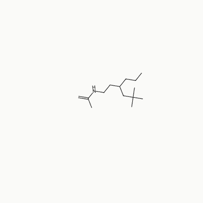 C=C(C)NCCC(CCC)CC(C)(C)C